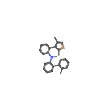 Cc1ccccc1-c1ccccc1N(C)c1ccccc1-c1c(C)csc1C